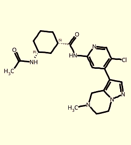 CC(=O)N[C@@H]1CCC[C@H](C(=O)Nc2cc(-c3cnn4c3CN(C)CC4)c(Cl)cn2)C1